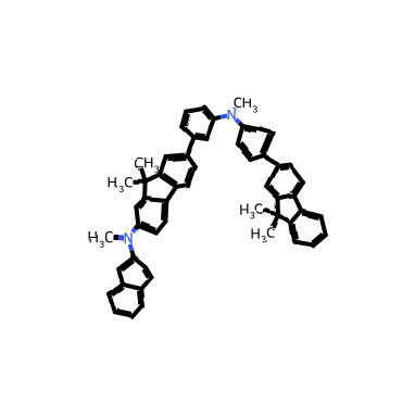 CN(c1ccc(-c2ccc3c(c2)C(C)(C)c2ccccc2-3)cc1)c1cccc(-c2ccc3c(c2)C(C)(C)c2cc(N(C)c4ccc5ccccc5c4)ccc2-3)c1